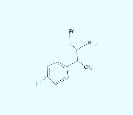 [CH2]C(c1ccc(F)cc1)C(CC(C)C)[N+](=O)[O-]